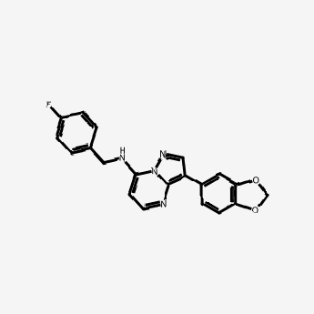 Fc1ccc(CNc2ccnc3c(-c4ccc5c(c4)OCO5)cnn23)cc1